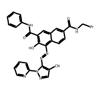 CC(C)CNC(=O)c1ccc2c(/N=N/c3c(C#N)cnn3-c3ccccn3)c(O)c(C(=O)Nc3ccccc3)cc2c1